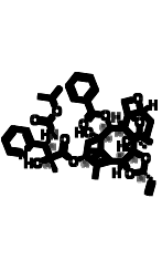 C=C[C@@H]1O[C@@H]2C3=C(C)[C@@H](OC(=O)[C@](C)(O)[C@@H](NC(=O)OC(C)C)c4ccccn4)C[C@@](O)([C@@H](OC(=O)c4ccccc4)[C@H]4[C@@](C)(CC[C@H]5OC[C@]54OC(C)=O)[C@@H]2O1)C3(C)C